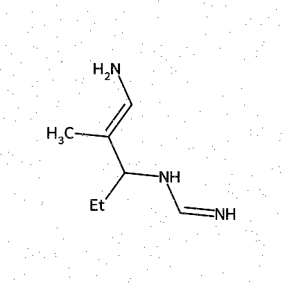 CCC(NC=N)/C(C)=C/N